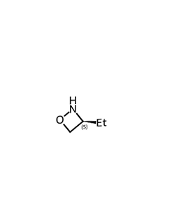 CC[C@H]1CON1